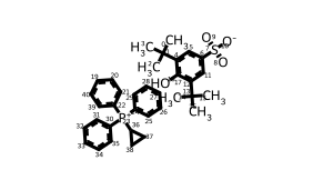 CC(C)(C)c1cc(S(=O)(=O)[O-])cc(C(C)(C)C)c1O.c1ccc([P+](c2ccccc2)(c2ccccc2)C2CC2)cc1